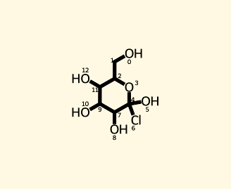 OCC1OC(O)(Cl)C(O)C(O)C1O